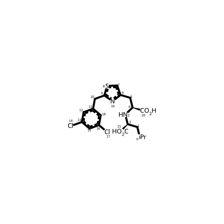 CC(C)C[C@H](N[C@@H](Cc1csc(Cc2cc(Cl)cc(Cl)c2)n1)C(=O)O)C(=O)O